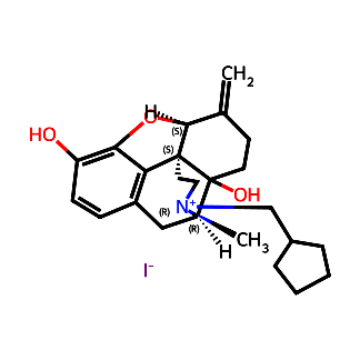 C=C1CCC2(O)[C@H]3Cc4ccc(O)c5c4[C@@]2(CC[N@+]3(C)CC2CCCC2)[C@H]1O5.[I-]